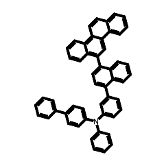 c1ccc(-c2ccc(N(c3ccccc3)c3cccc(-c4ccc(-c5cc6c7ccccc7ccc6c6ccccc56)c5ccccc45)c3)cc2)cc1